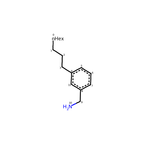 CCCCCCCCCc1cccc(CN)c1